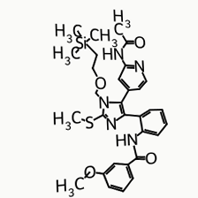 COc1cccc(C(=O)Nc2ccccc2-c2nc(SC)n(COCC[Si](C)(C)C)c2-c2ccnc(NC(C)=O)c2)c1